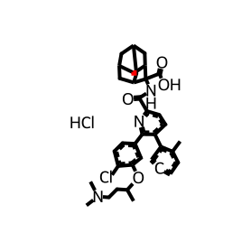 Cc1ccccc1-c1ccc(C(=O)NC2(C(=O)O)C3CC4CC(C3)CC2C4)nc1-c1ccc(Cl)c(OC(C)CCN(C)C)c1.Cl